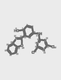 Oc1ccc(Nc2nc(Cl)nc(Cl)n2)cc1-c1nc2ccccc2o1